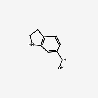 ONc1ccc2c(c1)NCC2